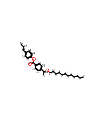 CCCCCCCCCCCCOC(C)c1ccc(C(=O)Oc2ccc(CCC)cc2)cc1